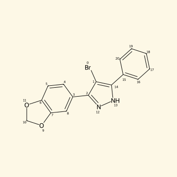 Brc1c(-c2ccc3c(c2)OCO3)n[nH]c1-c1ccccc1